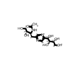 CC(=O)N[C@@H](Cc1cnc([C@@H](O)[C@H](O)[C@H](O)CO)cn1)[C@H](O)CO